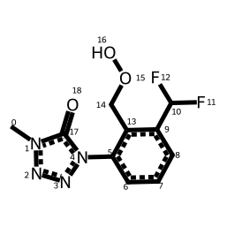 Cn1nnn(-c2cccc(C(F)F)c2COO)c1=O